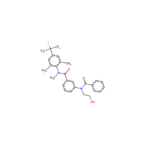 Cc1cc(C(F)(C(F)(F)F)C(F)(F)F)cc(C)c1N(C)C(=O)c1cccc(N(CCO)C(=O)c2ccccc2)c1